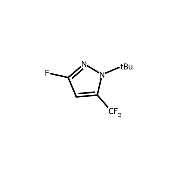 CC(C)(C)n1nc(F)cc1C(F)(F)F